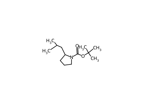 CC(C)CC1CCCN1C(=O)OC(C)(C)C